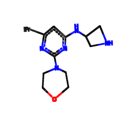 CC(C)c1cc(NC2CNC2)nc(N2CCOCC2)n1